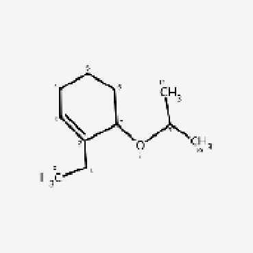 CCC1=CCCCC1OC(C)C